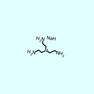 NCCN(CCN)CCN.[NaH]